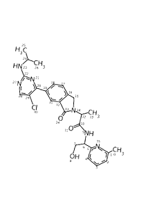 Cc1cccc(C(CO)NC(=O)C(C)N2Cc3ccc(-c4nc(NC(C)C)ncc4Cl)cc3C2=O)n1